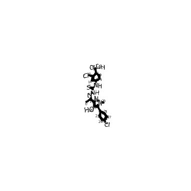 CC(=NNC(=S)Nc1ccc(C(=O)O)c(Cl)c1)c1nn(C)c(-c2ccc(Cl)cc2)c1O